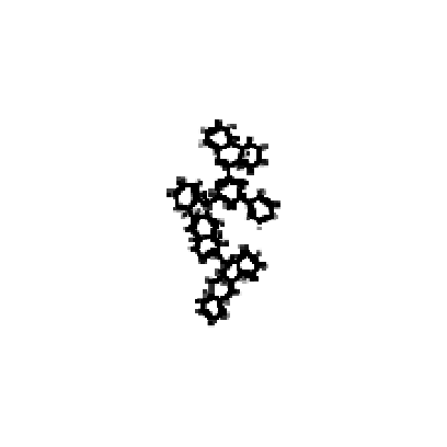 c1ccc(-c2nc(-c3cc4ccccc4c4ccccc34)nc(-n3c4ccccc4c4cc5ccc(-n6c7ccccc7c7cc8ccccc8cc76)cc5cc43)n2)cc1